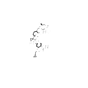 CN1CCN(Cc2ccc(C3(C(=O)Nc4cc(NCC5CC5)c(C#N)cn4)CC3)nc2C=O)C(=O)C1